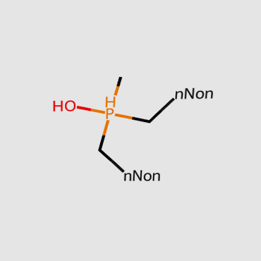 CCCCCCCCCC[PH](C)(O)CCCCCCCCCC